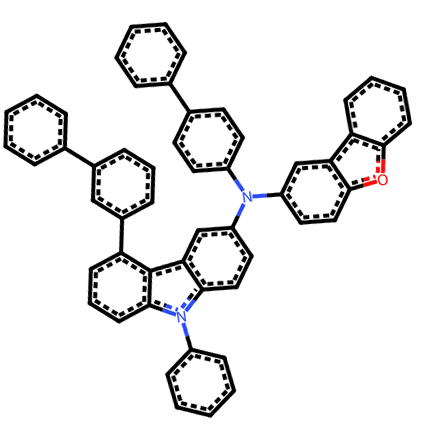 c1ccc(-c2ccc(N(c3ccc4oc5ccccc5c4c3)c3ccc4c(c3)c3c(-c5cccc(-c6ccccc6)c5)cccc3n4-c3ccccc3)cc2)cc1